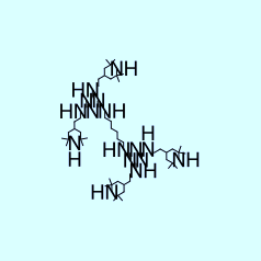 CC1(C)CC(CCNc2nc(NCCCCCCNc3nc(NCCC4CC(C)(C)NC(C)(C)C4)nc(NCCC4CC(C)(C)NC(C)(C)C4)n3)nc(NCCC3CC(C)(C)NC(C)(C)C3)n2)CC(C)(C)N1